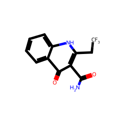 NC(=O)c1c(CC(F)(F)F)[nH]c2ccccc2c1=O